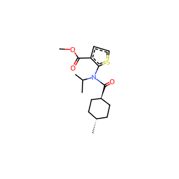 COC(=O)c1ccsc1N(C(=O)[C@H]1CC[C@H](C)CC1)C(C)C